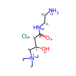 C[N+](C)(C)CC(O)CC(=O)NCCN.[Cl-]